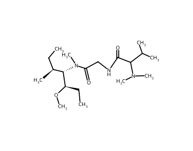 CC[C@H](C)[C@@H]([C@@H](CC)OC)N(C)C(=O)CNC(=O)C(C(C)C)N(C)C